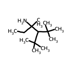 CCC(C)(N)C(C(C)(C)C)C(C)(C)C